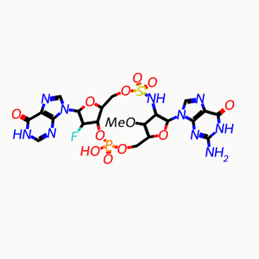 COC1C2COP(=O)(O)OC3C(COS(=O)(=O)NC1C(n1cnc4c(=O)[nH]c(N)nc41)O2)OC(n1cnc2c(=O)[nH]cnc21)C3F